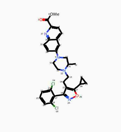 COC(=O)c1ccc2cc(N3CCN(CCc4c(-c5c(Cl)cccc5Cl)noc4C4CC4)C(C)C3)ccc2n1